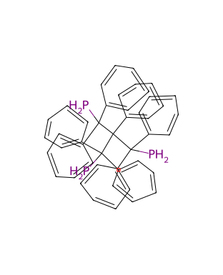 PC(c1ccccc1)(c1ccccc1)C(c1ccccc1)(C(P)(c1ccccc1)c1ccccc1)C(P)(c1ccccc1)c1ccccc1